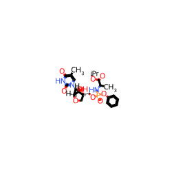 Cc1cn([C@@H]2O[C@@]3(COP(=O)(NC(C)C(=O)OC(C)C)Oc4ccccc4)CO[C@@H]2[C@@H]3O)c(=O)[nH]c1=O